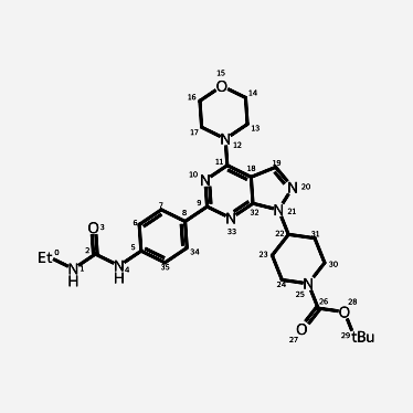 CCNC(=O)Nc1ccc(-c2nc(N3CCOCC3)c3cnn(C4CCN(C(=O)OC(C)(C)C)CC4)c3n2)cc1